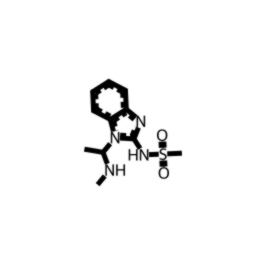 CNC(C)n1c(NS(C)(=O)=O)nc2ccccc21